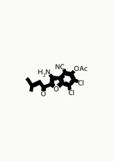 CC(=O)Oc1c(Cl)c(Cl)c2oc(C(=O)C=C(C)C)c(N)c2c1C#N